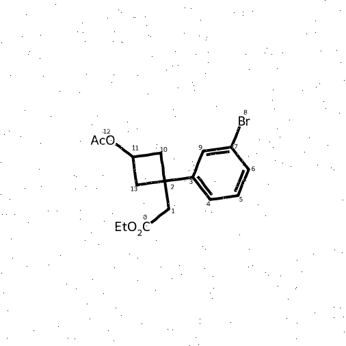 CCOC(=O)CC1(c2cccc(Br)c2)CC(OC(C)=O)C1